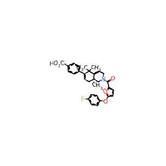 CC1(C)C(c2ccc(C(=O)O)cc2)=CC[C@]2(C)CN(C(=O)c3ccc(Oc4ccc(F)cc4)o3)CC=C12